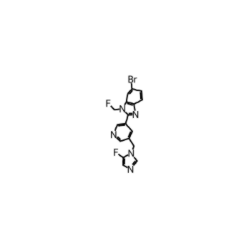 FCn1c(-c2cncc(Cn3cncc3F)c2)nc2ccc(Br)cc21